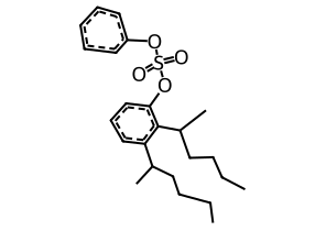 CCCCC(C)c1cccc(OS(=O)(=O)Oc2ccccc2)c1C(C)CCCC